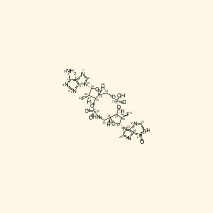 Nc1ncnc2c1ncn2[C@@H]1O[C@@H]2COP(=O)(O)O[C@H]3[C@@H](F)[C@H](n4cnc5c(=O)[nH]cnc54)O[C@@H]3CNS(=O)(=O)O[C@H]2[C@H]1F